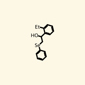 CCc1ccccc1C(O)C[Se]c1ccccc1